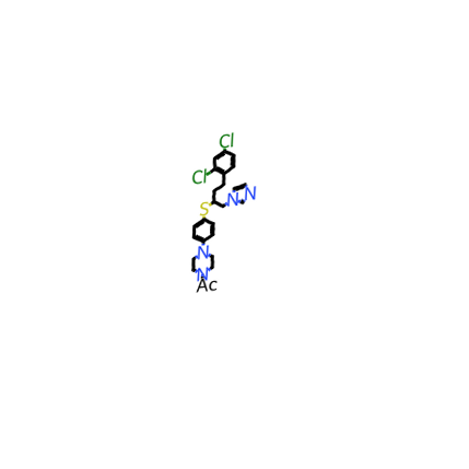 CC(=O)N1CCN(c2ccc(SC(CCc3ccc(Cl)cc3Cl)Cn3ccnc3)cc2)CC1